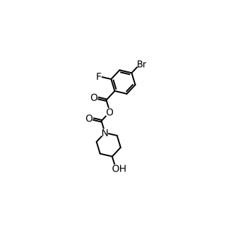 O=C(OC(=O)N1CCC(O)CC1)c1ccc(Br)cc1F